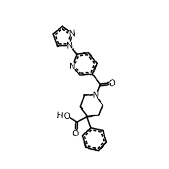 O=C(c1ccc(-n2cccn2)nc1)N1CCC(C(=O)O)(c2ccccc2)CC1